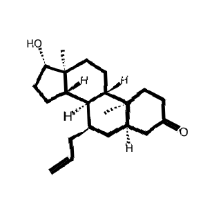 C=CC[C@@H]1C[C@@H]2CC(=O)CC[C@]2(C)[C@H]2CC[C@]3(C)[C@@H](O)CC[C@H]3[C@H]12